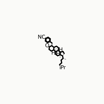 CC(C)CCC[C@@H](C)[C@H]1CC[C@H]2[C@@H]3CCC4[C@H](Cc5ccc(C#N)cc5)C(=O)CC[C@]4(C)[C@H]3CC[C@]12C